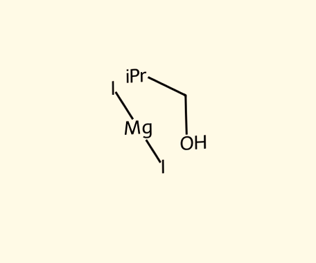 CC(C)CO.[I][Mg][I]